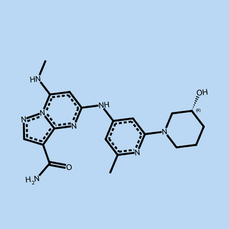 CNc1cc(Nc2cc(C)nc(N3CCC[C@@H](O)C3)c2)nc2c(C(N)=O)cnn12